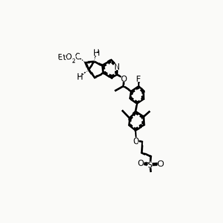 CCOC(=O)[C@H]1[C@@H]2Cc3cc(OC(C)c4cc(-c5c(C)cc(OCCCS(C)(=O)=O)cc5C)ccc4F)ncc3[C@@H]21